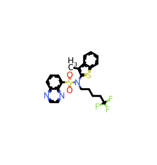 Cc1c(N(CCCCC(F)(F)F)S(=O)(=O)c2cccc3nccnc23)sc2ccccc12